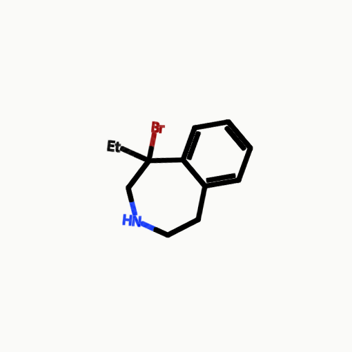 CCC1(Br)CNCCc2ccccc21